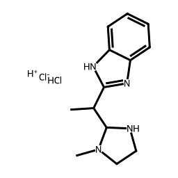 CC(c1nc2ccccc2[nH]1)C1NCCN1C.Cl.[Cl-].[H+]